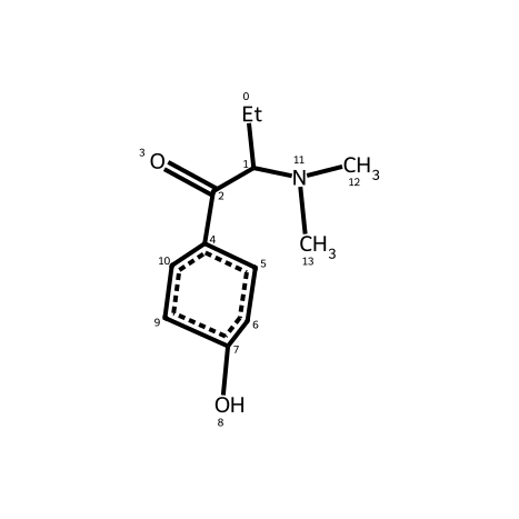 CCC(C(=O)c1ccc(O)cc1)N(C)C